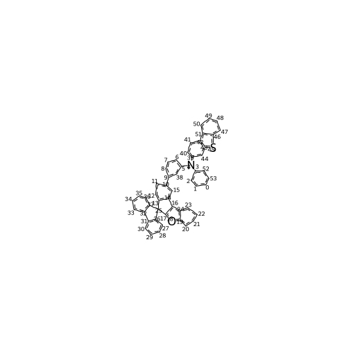 c1ccc(N(c2cccc(-c3ccc4c(c3)-c3c(oc5ccccc35)C43c4ccccc4-c4ccccc43)c2)c2ccc3c(c2)sc2ccccc23)cc1